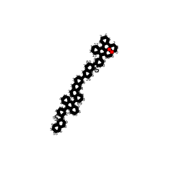 c1ccc(-c2ccccc2-c2c3ccccc3c(-c3ccc4sc5c6ccc(-c7ccc8cc9ccc%10c(-c%11c%12ccccc%12c(-c%12ccc%13sc%14c%15ccccc%15ccc%14c%13c%12)c%12ccccc%11%12)cccc%10c9cc8c7)cc6ccc5c4c3)c3ccccc23)cc1